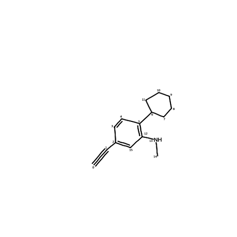 C#Cc1ccc(C2CCCCC2)c(NC)c1